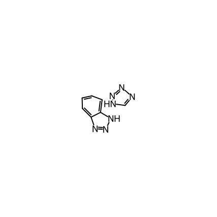 c1ccc2[nH]nnc2c1.c1nnn[nH]1